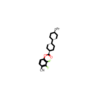 CCC[C@H]1CC[C@H]([C@H]2CC[C@H](C(=O)Oc3ccc(C#N)c(F)c3F)CC2)CC1